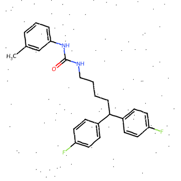 Cc1cccc(NC(=O)NCCCCC(c2ccc(F)cc2)c2ccc(F)cc2)c1